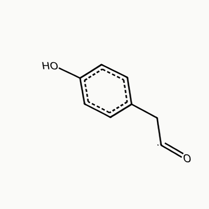 O=[C]Cc1ccc(O)cc1